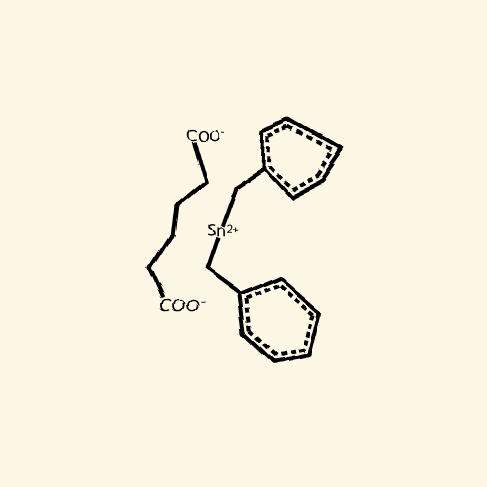 O=C([O-])CCCCC(=O)[O-].c1ccc([CH2][Sn+2][CH2]c2ccccc2)cc1